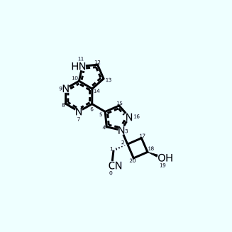 N#CC[C@]1(n2cc(-c3ncnc4[nH]ccc34)cn2)C[C@@H](O)C1